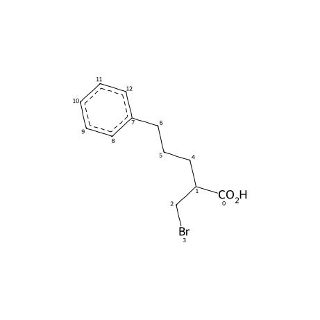 O=C(O)C(CBr)CCCc1ccccc1